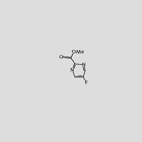 COC(=O)c1ncc(F)cn1